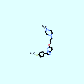 CSc1ccc(-c2cnc3ccc(OCCCN4CCN(C)CC4)nn23)cc1